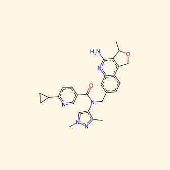 Cc1nn(C)cc1N(Cc1ccc2c3c(c(N)nc2c1)C(C)OC3)C(=O)c1ccc(C2CC2)nc1